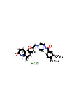 COc1ccc(C(=O)N2CCN(CC3Cc4cc(C)c5c(c4O3)CCC(=O)N5)CC2)cc1OC.Cl